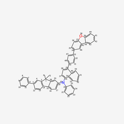 CC1(C)c2cc(-c3ccccc3)ccc2-c2ccc(N(c3ccccc3)c3ccc(-c4ccc(-c5ccc6oc7ccccc7c6c5)cc4)c4ccccc34)cc21